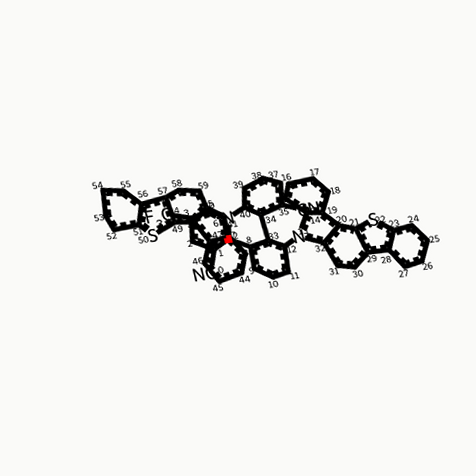 N#Cc1cc(C(F)(F)F)ccc1-c1cccc(-n2c3ccccc3c3c4sc5ccccc5c4ccc32)c1-c1c(C#N)cccc1-n1c2ccccc2c2c3sc4ccccc4c3ccc21